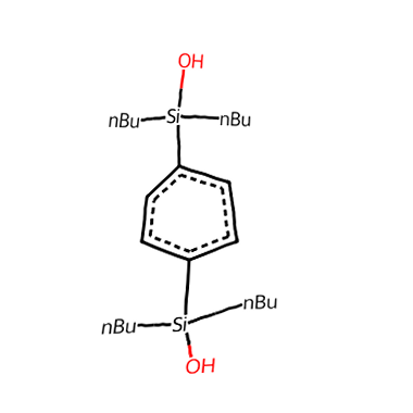 CCCC[Si](O)(CCCC)c1ccc([Si](O)(CCCC)CCCC)cc1